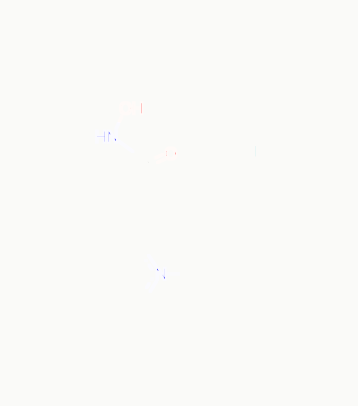 O=C(C=Cc1cccn1Cc1ccc(F)cc1)NO